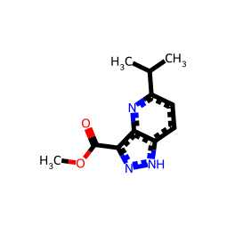 COC(=O)c1n[nH]c2ccc(C(C)C)nc12